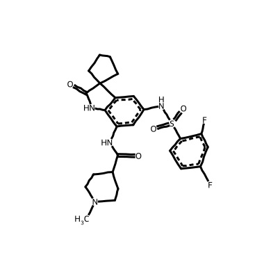 CN1CCC(C(=O)Nc2cc(NS(=O)(=O)c3ccc(F)cc3F)cc3c2NC(=O)C32CCCC2)CC1